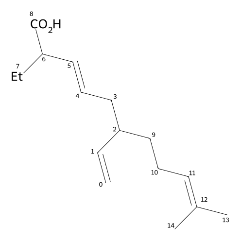 C=CC(C/C=C/C(CC)C(=O)O)CCC=C(C)C